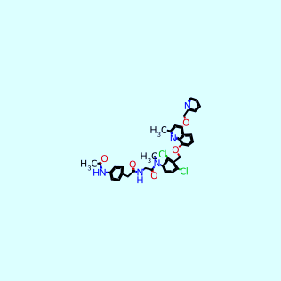 CC(=O)Nc1ccc(CC(=O)NCC(=O)N(C)c2ccc(Cl)c(COc3cccc4c(OCc5ccccn5)cc(C)nc34)c2Cl)cc1